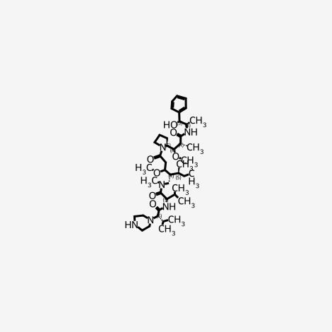 CC[C@H](C)[C@H](CN(C)C(=O)[C@@H](NC(=O)[C@H](C(C)C)N1CCNCC1)C(C)C)C(CC(=O)N1CCC[C@H]1[C@H](OC)[C@@H](C)C(=O)N[C@H](C)[C@@H](O)c1ccccc1)OC